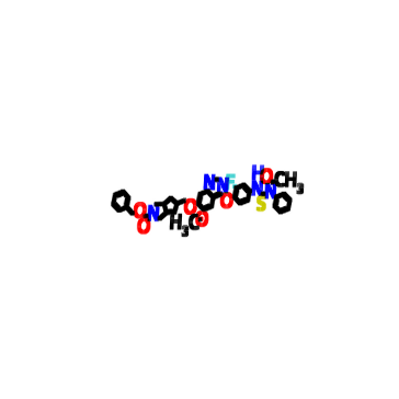 COc1cc2c(Oc3ccc(NC(=S)N(C(C)=O)c4ccccc4)cc3F)ncnc2cc1OCC1C=C2CN(C(=O)OCc3ccccc3)CC2C1